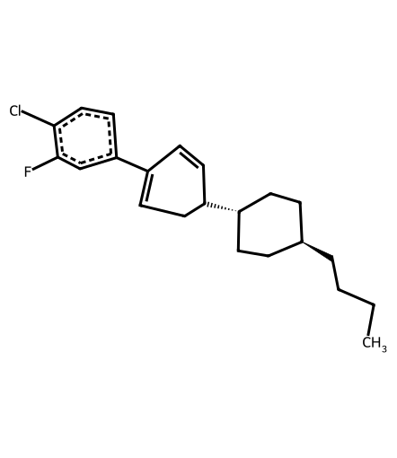 CCCC[C@H]1CC[C@H](C2C=CC(c3ccc(Cl)c(F)c3)=CC2)CC1